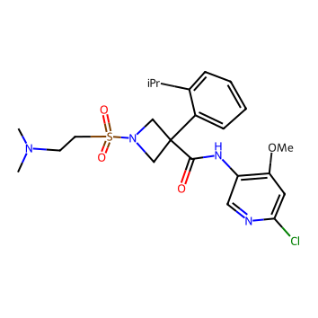 COc1cc(Cl)ncc1NC(=O)C1(c2ccccc2C(C)C)CN(S(=O)(=O)CCN(C)C)C1